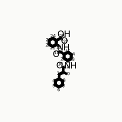 C/C(=C\c1ccccc1)C(=O)Nc1cccc(C(=O)Nc2ccccc2C(=O)O)c1